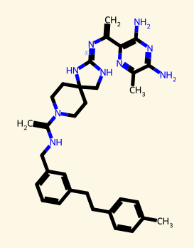 C=C(/N=C1\NCC2(CCN(C(=C)NCc3cccc(CCc4ccc(C)cc4)c3)CC2)N1)c1nc(C)c(N)nc1N